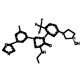 CCNc1cc(-c2cc(C)cc(-c3cnco3)c2)cn(-c2cc(N3CC[C@H](O)C3)ccc2C(F)(F)F)c1=O